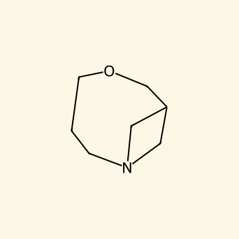 C1COCC2CN(C1)C2